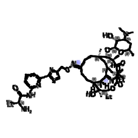 CCC(=O)/N=C1\[C@H](C)C[C@@]2(C)CC/C(=N/OCc3csc(-c4cccc(NC(=O)[C@@H](N)CC)n4)n3)CC[C@H]([C@H]1C)[C@](C)(O)[C@@H](CC)OC(=O)[C@@](C)(F)C(=O)[C@H](C)[C@H]2O[C@@H]1O[C@H](C)C[C@H](N(C)C)[C@H]1O